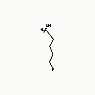 CCCCCF.[LiH]